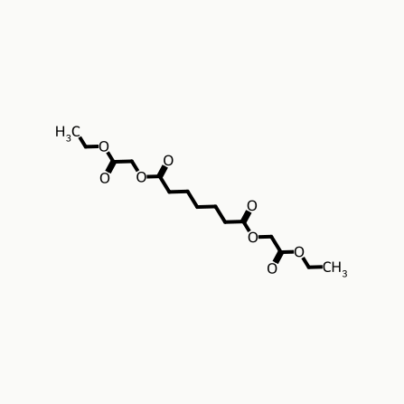 CCOC(=O)COC(=O)CCCCCC(=O)OCC(=O)OCC